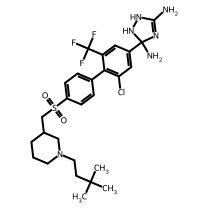 CC(C)(C)CCN1CCCC(CS(=O)(=O)c2ccc(-c3c(Cl)cc(C4(N)N=C(N)NN4)cc3C(F)(F)F)cc2)C1